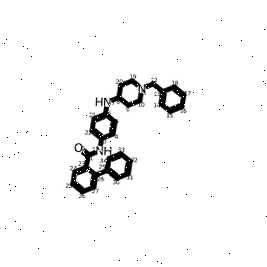 O=C(Nc1ccc(NC2CCN(Cc3ccccc3)CC2)cc1)c1ccccc1-c1ccccc1